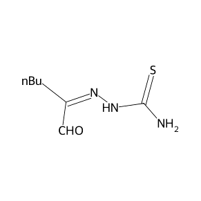 CCCCC(C=O)=NNC(N)=S